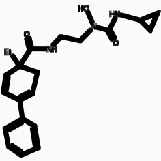 CCC1(C(=O)NCCN(O)C(=O)NC2CC2)C=CC(c2ccccc2)=CC1